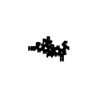 CCC(C)c1c[nH]c2ccc(Oc3c(C(F)(F)F)cc(CC(=O)O)cc3C(F)(F)F)cc12